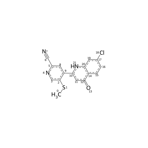 CSc1cnc(C#N)cc1-c1cc(=O)c2ccc(Cl)cc2[nH]1